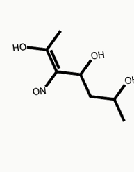 C/C(O)=C(/N=O)C(O)CC(C)O